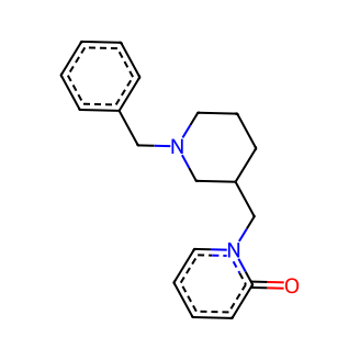 O=c1ccccn1CC1CCCN(Cc2ccccc2)C1